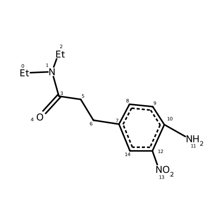 CCN(CC)C(=O)CCc1ccc(N)c([N+](=O)[O-])c1